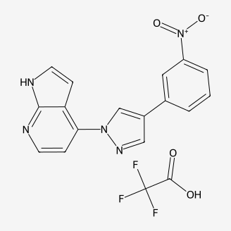 O=C(O)C(F)(F)F.O=[N+]([O-])c1cccc(-c2cnn(-c3ccnc4[nH]ccc34)c2)c1